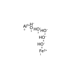 [Al+3].[Fe+2].[OH-].[OH-].[OH-].[OH-].[OH-]